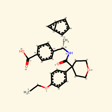 CCOc1ccc(C2(C(=O)N[C@@H](C)c3ccc(C(=O)O)cc3)CCOCC2)cc1.c1cc2cc-2c1